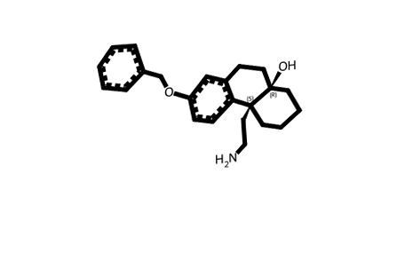 NCC[C@]12CCCC[C@@]1(O)CCc1cc(OCc3ccccc3)ccc12